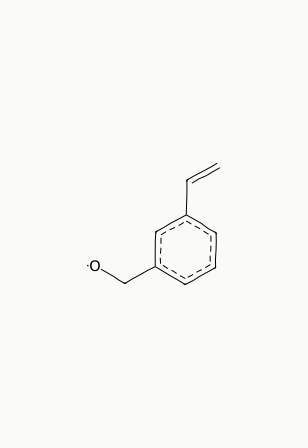 C=Cc1cccc(C[O])c1